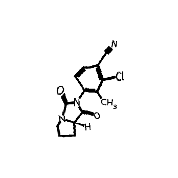 Cc1c(N2C(=O)[C@@H]3CCCN3C2=O)ccc(C#N)c1Cl